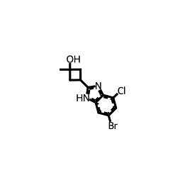 CC1(O)CC(c2nc3c(Cl)cc(Br)cc3[nH]2)C1